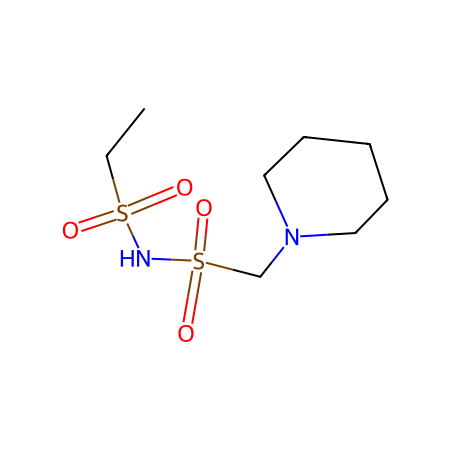 CCS(=O)(=O)NS(=O)(=O)CN1CCCCC1